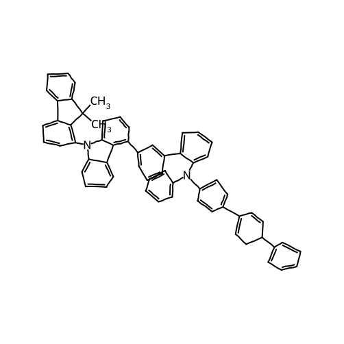 CC1(C)c2ccccc2-c2cccc(-n3c4ccccc4c4c(-c5cccc(-c6ccccc6N(c6ccccc6)c6ccc(C7=CCC(c8ccccc8)C=C7)cc6)c5)cccc43)c21